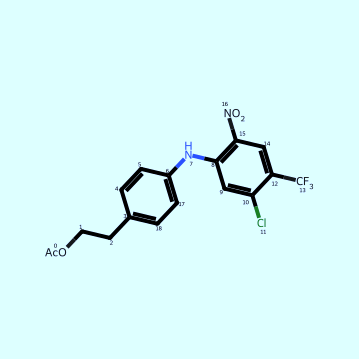 CC(=O)OCCc1ccc(Nc2cc(Cl)c(C(F)(F)F)cc2[N+](=O)[O-])cc1